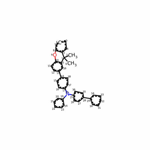 CC1(C)c2ccccc2Oc2ccc(-c3ccc(N(c4ccccc4)c4ccc(-c5ccccc5)cc4)cc3)cc21